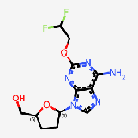 Nc1nc(OCC(F)F)nc2c1ncn2[C@H]1CC[C@@H](CO)O1